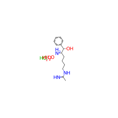 CC(=N)NCCCCC(N)C(O)c1ccccc1.Cl.O.O